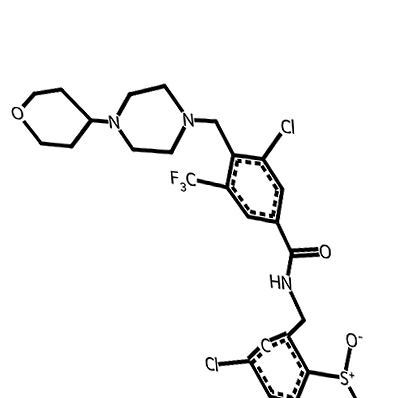 CC[S+]([O-])c1ccc(Cl)cc1CNC(=O)c1cc(Cl)c(CN2CCN(C3CCOCC3)CC2)c(C(F)(F)F)c1